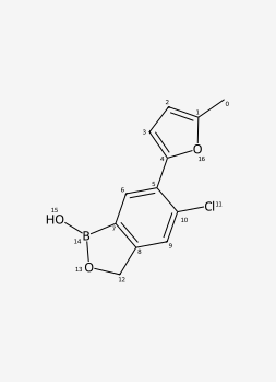 Cc1ccc(-c2cc3c(cc2Cl)COB3O)o1